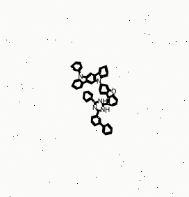 C1=CC(C2=NC(c3cccc(-c4ccccc4)c3)NC(c3cccc4oc5cc(-n6c7ccccc7c7cc8c(cc76)c6ccccc6n8-c6ccccc6)ccc5c34)N2)=CCC1